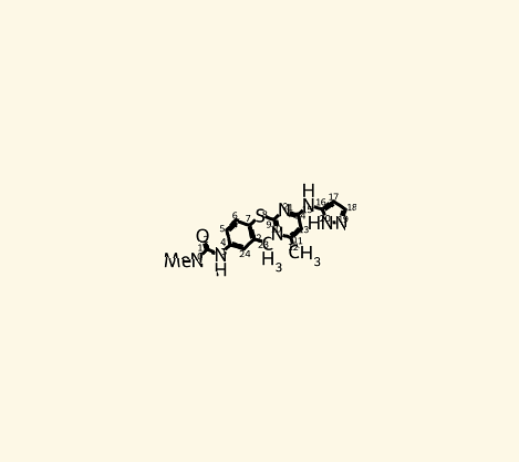 CNC(=O)Nc1ccc(Sc2nc(C)cc(Nc3ccn[nH]3)n2)c(C)c1